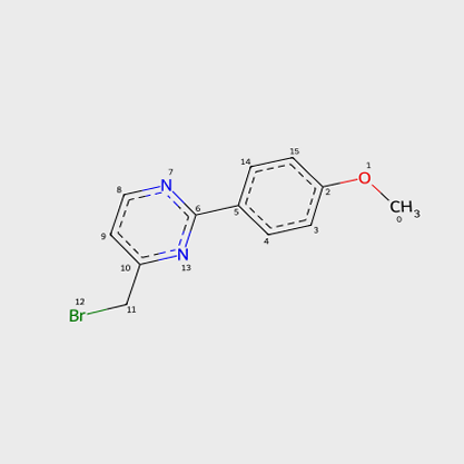 COc1ccc(-c2nccc(CBr)n2)cc1